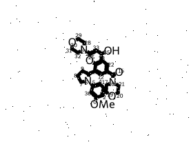 COc1cccc(N2CCCC2c2cc(C(=O)N3CCOCC3)cc3c2OC(N2CCOCC2)=CC3O)c1